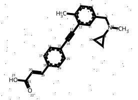 Cc1ccc(CN(C)C2CC2)cc1C#Cc1ccc(C=CC(=O)O)cc1